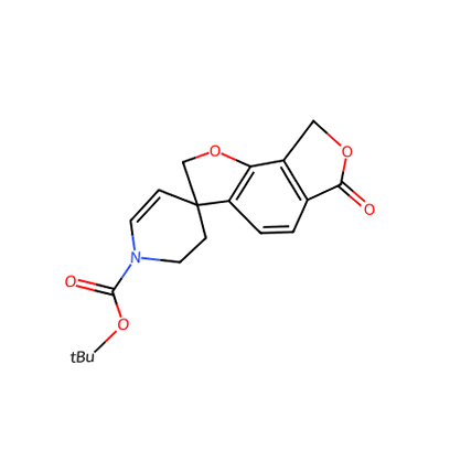 CC(C)(C)OC(=O)N1C=CC2(CC1)COc1c2ccc2c1COC2=O